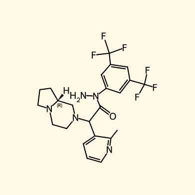 Cc1ncccc1C(C(=O)N(N)c1cc(C(F)(F)F)cc(C(F)(F)F)c1)N1CCN2CCC[C@@H]2C1